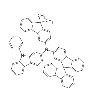 CC1(C)c2ccccc2-c2cc(N(c3ccc4c(c3)C3(c5ccccc5-4)c4ccccc4C4C=CC=CC43)c3ccc4c5ccccc5n(-c5ccccc5)c4c3)ccc21